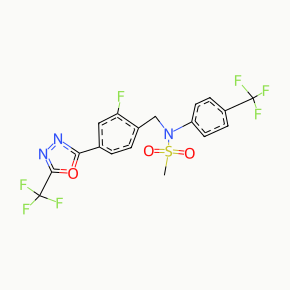 CS(=O)(=O)N(Cc1ccc(-c2nnc(C(F)(F)F)o2)cc1F)c1ccc(C(F)(F)F)cc1